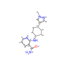 Cn1cc(C2CCC(Nc3ncccc3C(N)=O)CC2)cn1